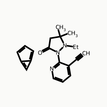 C#Cc1cccnc1N1C(=O)CC(C)(C)N1CC.c1cc2cc-2c1